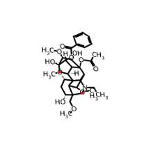 CCN1CC2(COC)C3C(OC)C4C1C3([C@@H](OC)C[C@H]2O)[C@H]1C[C@@]2(O)[C@H](OC(=O)c3ccccc3)C1[C@]4(OC(C)=O)[C@@H](O)[C@@H]2OC